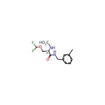 Cc1cccc(CNC(=O)[C@@H](COC(F)F)NC(=O)O)c1